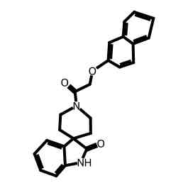 O=C(COc1ccc2ccccc2c1)N1CCC2(CC1)C(=O)Nc1ccccc12